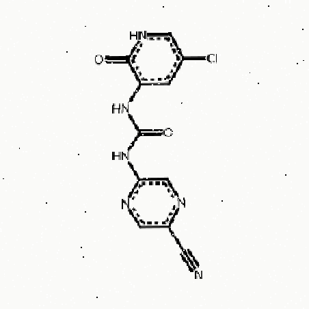 N#Cc1cnc(NC(=O)Nc2cc(Cl)c[nH]c2=O)cn1